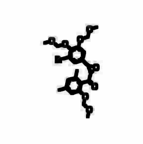 COCOc1cc(C2OC2C(=O)c2c(C)cc(C)cc2OCOC)cc(Br)c1OCOC